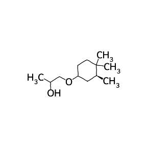 CC(O)COC1CCC(C)(C)[C@@H](C)C1